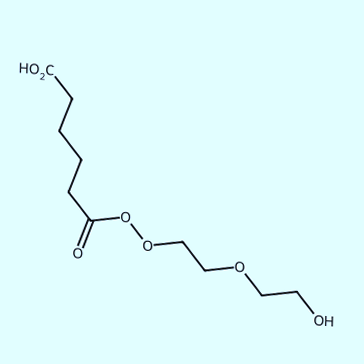 O=C(O)CCCCC(=O)OOCCOCCO